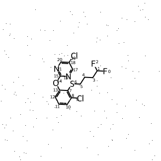 FC(F)CCCSc1c(Cl)cccc1Oc1ncc(Cl)cn1